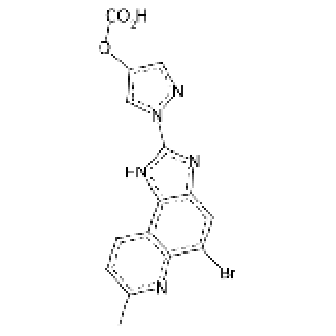 Cc1ccc2c(n1)c(Br)cc1nc(-n3cc(OC(=O)O)cn3)[nH]c12